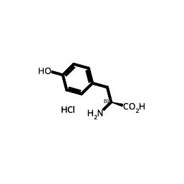 Cl.N[C@@H](Cc1ccc(O)cc1)C(=O)O